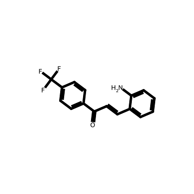 Nc1ccccc1C=CC(=O)c1ccc(C(F)(F)F)cc1